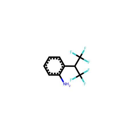 Nc1ccccc1C(C(F)(F)F)C(F)(F)F